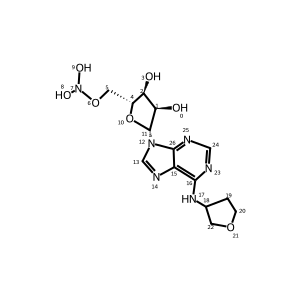 O[C@@H]1[C@H](O)[C@@H](CON(O)O)O[C@H]1n1cnc2c(NC3CCOC3)ncnc21